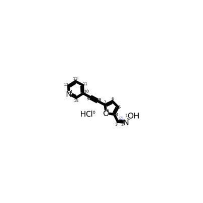 Cl.O/N=C\c1ccc(C#Cc2cccnc2)o1